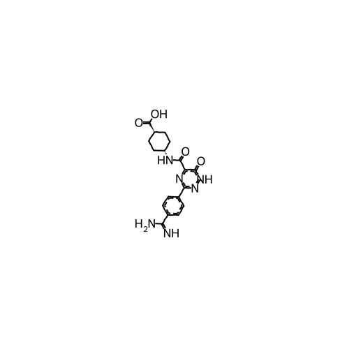 N=C(N)c1ccc(-c2n[nH]c(=O)c(C(=O)N[C@H]3CC[C@H](C(=O)O)CC3)n2)cc1